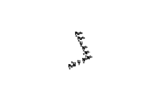 [N-3].[N-3].[N-3].[N-3].[Pu+4].[Pu+4].[Pu+4].[U].[U].[U]